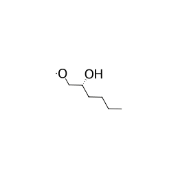 CCCC[C@@H](O)C[O]